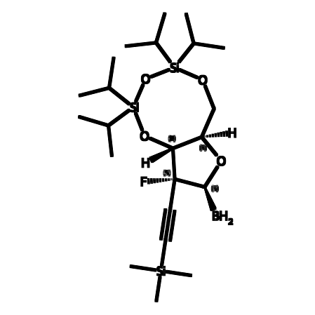 B[C@@H]1O[C@@H]2CO[Si](C(C)C)(C(C)C)O[Si](C(C)C)(C(C)C)O[C@H]2[C@]1(F)C#C[Si](C)(C)C